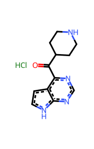 Cl.O=C(c1ncnc2[nH]ccc12)C1CCNCC1